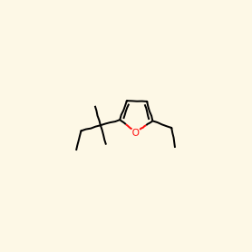 CCc1ccc(C(C)(C)CC)o1